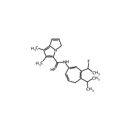 Cc1c(C)c(C(=P)NC2=CC(C(C)F)=C(C(C)C)CC=C2)n2c1C=CC2